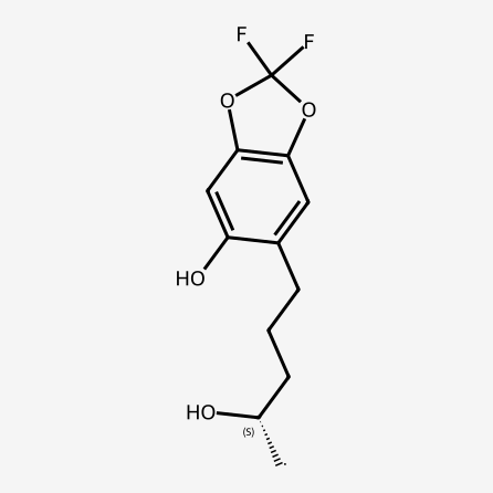 [CH2][C@H](O)CCCc1cc2c(cc1O)OC(F)(F)O2